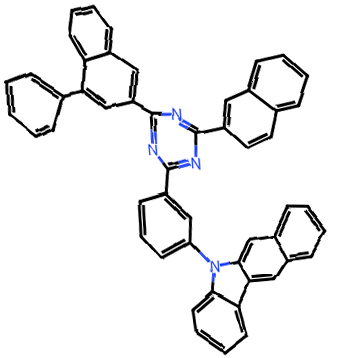 c1ccc(-c2cc(-c3nc(-c4cccc(-n5c6ccccc6c6cc7ccccc7cc65)c4)nc(-c4ccc5ccccc5c4)n3)cc3ccccc23)cc1